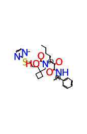 CCCC[C@@H](C(=O)C(=O)N[C@H](C)c1ccccc1)N(CC1(CCCSc2nccn2C)CCC1)C(=O)O